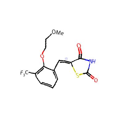 COCCOc1c(/C=C2\SC(=O)NC2=O)cccc1C(F)(F)F